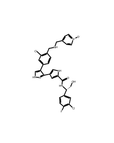 O=C(N[C@H](CO)c1ccc(F)c(Cl)c1)c1cc(-c2n[nH]cc2-c2ccc(CNCc3cc[n+]([O-])cc3)c(Cl)c2)c[nH]1